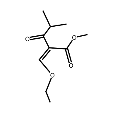 CCOC=C(C(=O)OC)C(=O)C(C)C